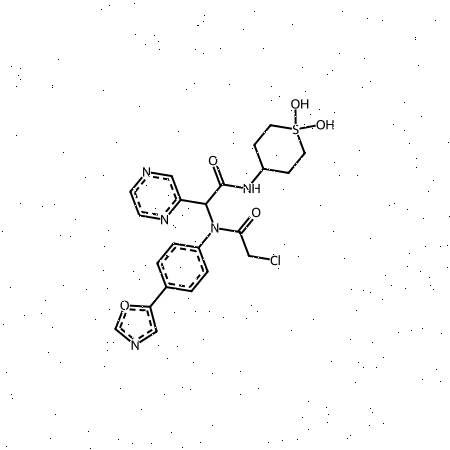 O=C(NC1CCS(O)(O)CC1)C(c1cnccn1)N(C(=O)CCl)c1ccc(-c2cnco2)cc1